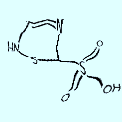 O=S(=O)(O)C1N=[C]NS1